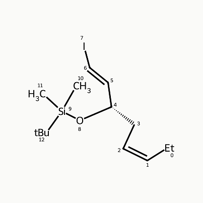 CC/C=C\C[C@@H](/C=C/I)O[Si](C)(C)C(C)(C)C